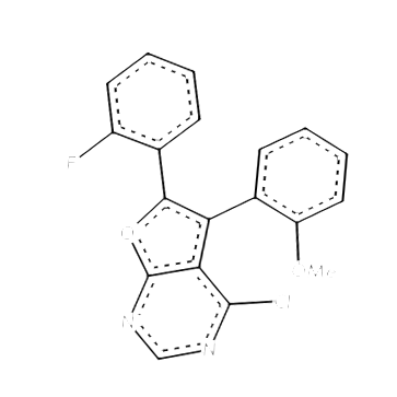 COc1ccccc1-c1c(-c2ccccc2F)oc2ncnc(Cl)c12